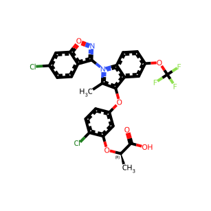 Cc1c(Oc2ccc(Cl)c(O[C@H](C)C(=O)O)c2)c2cc(OC(F)(F)F)ccc2n1-c1noc2cc(Cl)ccc12